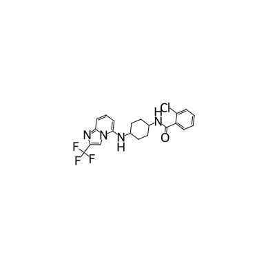 O=C(NC1CCC(Nc2cccc3nc(C(F)(F)F)cn23)CC1)c1ccccc1Cl